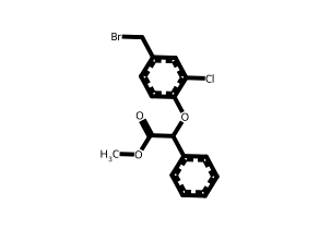 COC(=O)C(Oc1ccc(CBr)cc1Cl)c1ccccc1